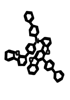 c1ccc(-c2ccc(-c3c4oc5cccc(N(c6ccc(-c7ccccc7)cc6)c6ccc(-c7cccc8c7oc7ccccc78)cc6)c5c4cc4oc5ccccc5c34)cc2)cc1